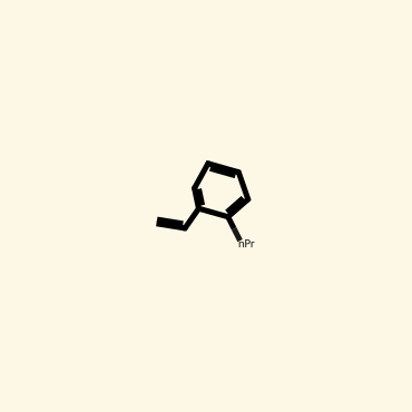 C=Cc1ccccc1CCC